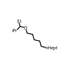 CCCCCCCCCCCCOC(CC)C(C)C